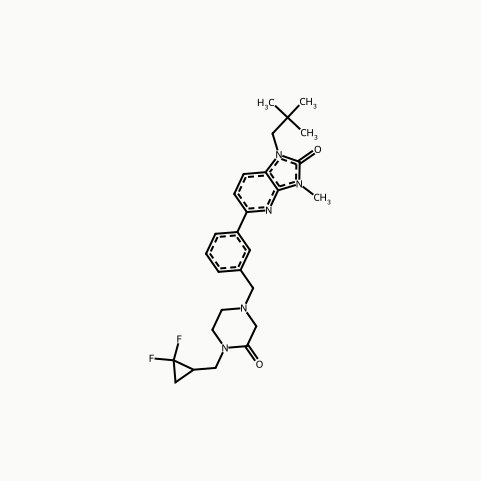 Cn1c(=O)n(CC(C)(C)C)c2ccc(-c3cccc(CN4CCN(CC5CC5(F)F)C(=O)C4)c3)nc21